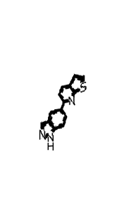 c1cc2ccc(-c3ccc4[nH]ncc4c3)nc2s1